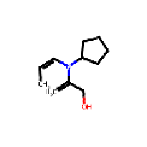 C=C(CO)N(/C=C\C)C1CCCC1